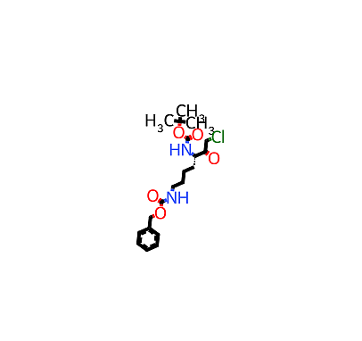 CC(C)(C)OC(=O)N[C@@H](CCCCNC(=O)OCc1ccccc1)C(=O)CCl